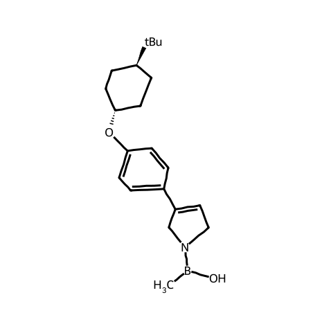 CB(O)N1CC=C(c2ccc(O[C@H]3CC[C@H](C(C)(C)C)CC3)cc2)C1